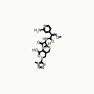 CO/N=C(\C(=O)NC1C(=O)N2C(C(=O)O)=C(CSc3nnnn3C)CS[C@H]12)c1ccnc(N)c1